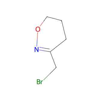 BrCC1=NOCCC1